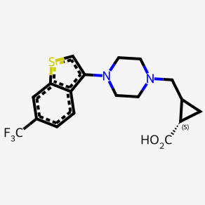 O=C(O)[C@H]1CC1CN1CCN(c2csc3cc(C(F)(F)F)ccc23)CC1